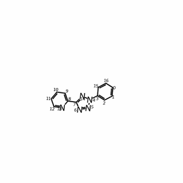 c1ccc(-n2nnc(-c3ccccn3)n2)cc1